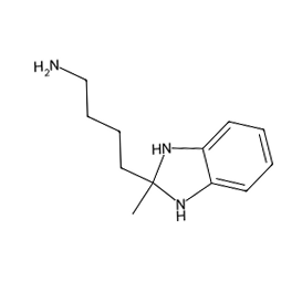 CC1(CCCCN)Nc2ccccc2N1